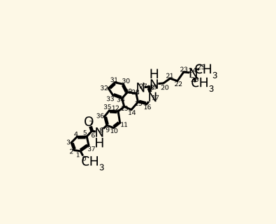 Cc1cccc(C(=O)Nc2ccc(C3Cc4cnc(NCCCCN(C)C)nc4-c4ccccc43)cc2)c1